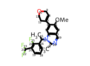 COc1cc2c(cc1C1=CCOCC1)N(C(C)c1cccc(C(F)F)c1F)[C@@H](C)N=C2